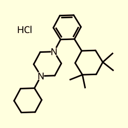 CC1(C)CC(c2ccccc2N2CCN(C3CCCCC3)CC2)CC(C)(C)C1.Cl